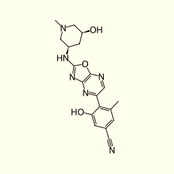 Cc1cc(C#N)cc(O)c1-c1cnc2oc(N[C@@H]3C[C@H](O)CN(C)C3)nc2n1